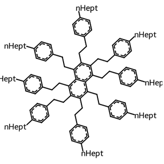 CCCCCCCc1ccc(CCc2c(CCc3ccc(CCCCCCC)cc3)c(CCc3ccc(CCCCCCC)cc3)c3c(CCc4ccc(CCCCCCC)cc4)c(CCc4ccc(CCCCCCC)cc4)c(CCc4ccc(CCCCCCC)cc4)c(CCc4ccc(CCCCCCC)cc4)c3c2CCc2ccc(CCCCCCC)cc2)cc1